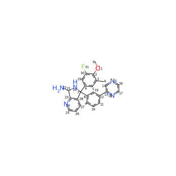 COc1c(C)cc(C2(c3cccc(-c4cnccn4)c3)NC(N)c3ncccc32)cc1F